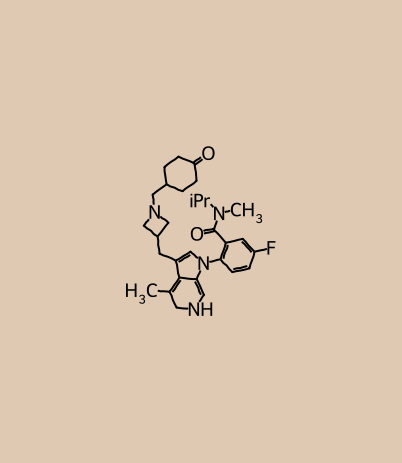 CC1=c2c(CC3CN(CC4CCC(=O)CC4)C3)cn(-c3ccc(F)cc3C(=O)N(C)C(C)C)c2=CNC1